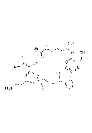 C[C@@H](O)[C@H](N)C(=O)N[C@@H](CCCCN)C(=O)NCC(=O)N1CCC[C@H]1C(=O)N[C@@H](CO)C(=O)N[C@@H](CCCNC(=N)N)C(=O)O